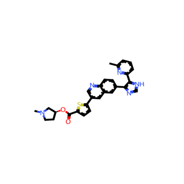 Cc1cccc(-c2[nH]cnc2-c2ccc3ncc(-c4ccc(C(=O)O[C@H]5CCN(C)C5)s4)cc3c2)n1